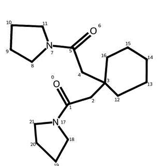 O=C(CC1(CC(=O)N2CCCC2)CCCCC1)N1CCCC1